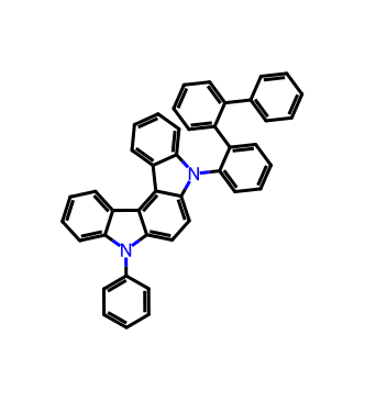 c1ccc(-c2ccccc2-c2ccccc2-n2c3ccccc3c3c4c5ccccc5n(-c5ccccc5)c4ccc32)cc1